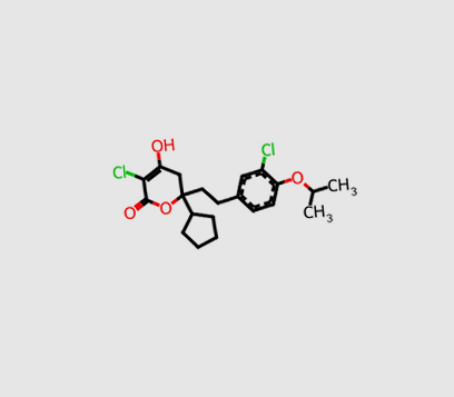 CC(C)Oc1ccc(CCC2(C3CCCC3)CC(O)=C(Cl)C(=O)O2)cc1Cl